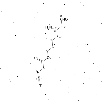 [N-]=[N+]=NCC(=O)OCCCC[C@H](N)OC=O